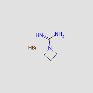 Br.N=C(N)N1CCC1